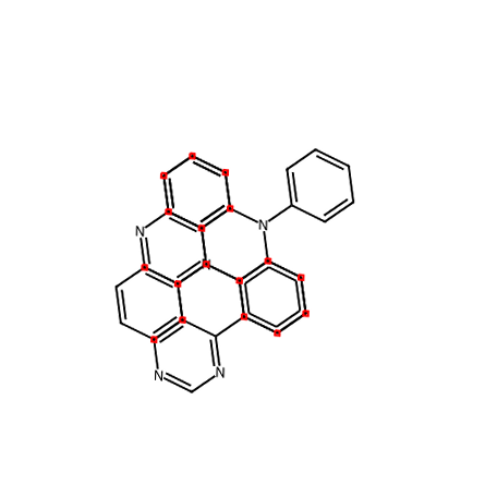 c1ccc(N(c2ccccc2)c2ccccc2-c2ccncc2-c2cncnc2-c2ccccc2N(c2ccccc2)c2ccccc2)cc1